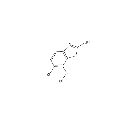 CCSc1c(Cl)ccc2nc(C(C)(C)C)oc12